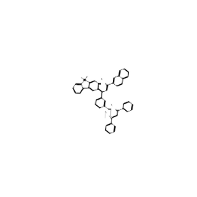 CC1(C)c2ccccc2-c2cc3c(-c4cccc(-c5nc(-c6ccccc6)cc(-c6ccccc6)n5)c4)cc(-c4ccc5ccccc5c4)nc3cc21